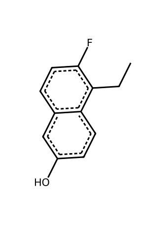 CCc1c(F)ccc2cc(O)ccc12